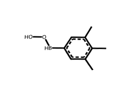 Cc1cc(BOO)cc(C)c1C